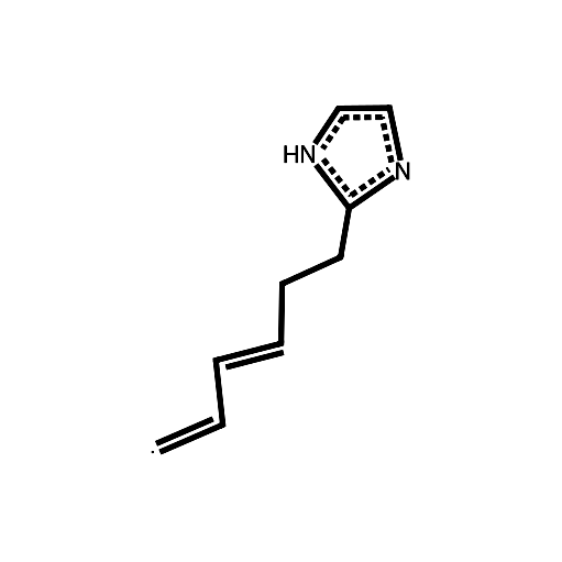 [CH]=CC=CCCc1ncc[nH]1